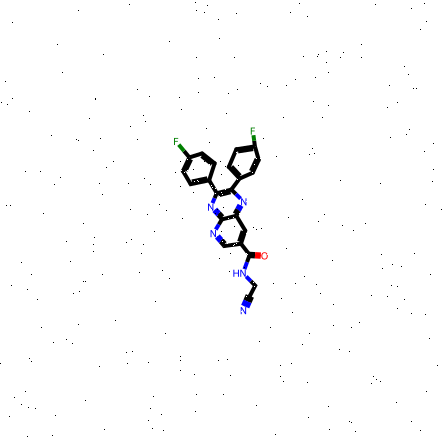 N#CCNC(=O)c1cnc2nc(-c3ccc(F)cc3)c(-c3ccc(F)cc3)nc2c1